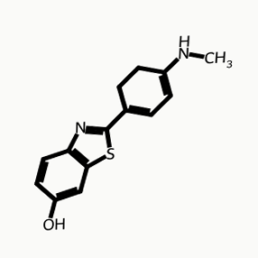 CNC1=CC=C(c2nc3ccc(O)cc3s2)CC1